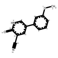 COc1cccc(-c2c[nH]c(=O)c(C#N)c2)c1